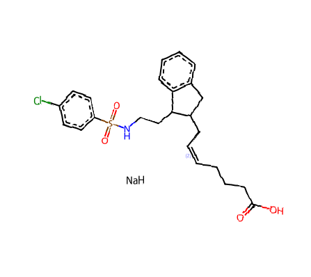 O=C(O)CCC/C=C\CC1Cc2ccccc2C1CCNS(=O)(=O)c1ccc(Cl)cc1.[NaH]